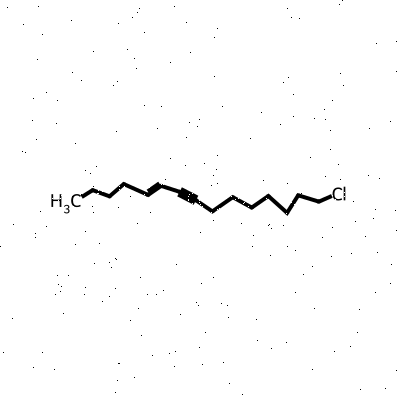 CCCCC=CC#CCCCCCCCCl